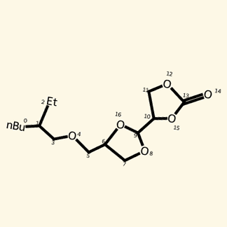 CCCCC(CC)COCC1COC(C2COC(=O)O2)O1